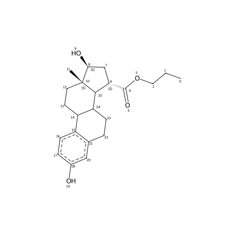 CCCOC(=O)[C@H]1C[C@H](O)[C@@]2(C)CCC3c4ccc(O)cc4CCC3C12